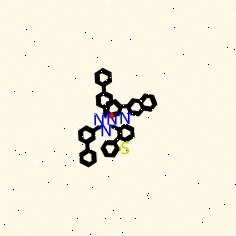 c1ccc(-c2ccc(-c3nc(-c4cccc(-c5ccccc5)c4)nc(-c4c(-n5c6ccccc6c6cc7ccccc7cc65)ccc5sc6ccccc6c45)n3)cc2)cc1